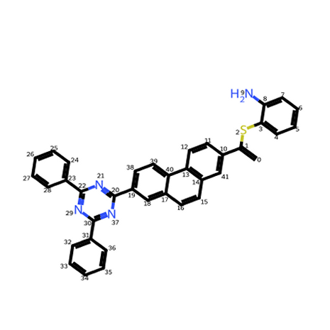 C=C(Sc1ccccc1N)c1ccc2c(ccc3cc(-c4nc(-c5ccccc5)nc(-c5ccccc5)n4)ccc32)c1